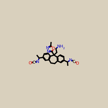 Cc1nnc(C2(CCN)c3ccc(C(C)N=C=O)cc3CCc3cc(C(C)N=C=O)ccc32)o1